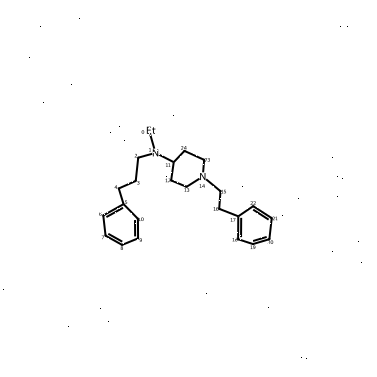 CCN(CCCc1ccccc1)C1CCN(CCc2ccccc2)CC1